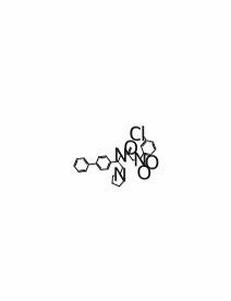 CN(C(=O)Cn1c(=O)oc2ccc(Cl)cc21)[C@@H](CN1CCCC1)c1ccc(-c2ccccc2)cc1